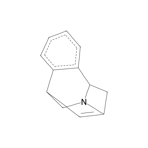 C1=C2CC3c4ccccc4C1CN23